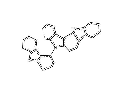 c1ccc2c(c1)[nH]c1c2ccc2c1c1ccccc1n2-c1cccc2oc3ccccc3c12